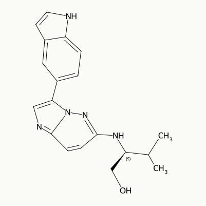 CC(C)[C@@H](CO)Nc1ccc2ncc(-c3ccc4[nH]ccc4c3)n2n1